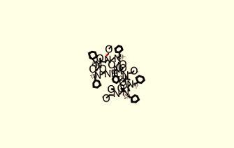 COCCN(C=O)CC(=O)N(CC(=O)N(CC(=O)N(CCOC)CC(=O)N(CC(=O)N(CC(=O)N(CCOC)CC(=O)N(CC(=O)N(CC(N)=O)[C@@H](C)c1ccccc1)[C@@H](C)c1ccccc1)[C@@H](C)c1ccccc1)[C@@H](C)c1ccccc1)[C@@H](C)c1ccccc1)[C@@H](C)c1ccccc1